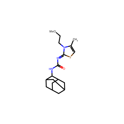 COCCn1c(C)cs/c1=N\C(=O)NC1C2CC3CC(C2)CC1C3